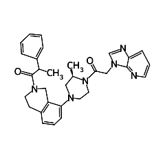 CC(C(=O)N1CCc2cccc(N3CCN(C(=O)Cn4cnc5cccnc54)[C@H](C)C3)c2C1)c1ccccc1